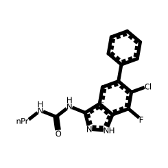 CCCNC(=O)Nc1n[nH]c2c(F)c(Cl)c(-c3ccccc3)cc12